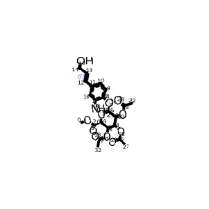 COC(=O)[C@H]1O[C@@H](Oc2ccc(/C=C/CO)cc2N)C(OC(C)=O)C(OC(C)=O)C1OC(C)=O